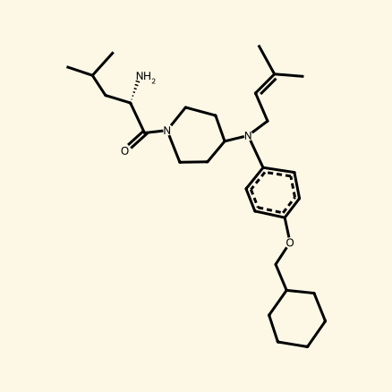 CC(C)=CCN(c1ccc(OCC2CCCCC2)cc1)C1CCN(C(=O)[C@@H](N)CC(C)C)CC1